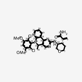 C=C(C(N)=O)[C@@H]1CCOC[C@H]1Nc1ncc2c(n1)-c1cccnc1N(c1c(Cl)c(OC)cc(OC)c1Cl)C2C